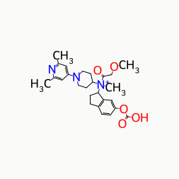 COCC(=O)[N+](C)(C1CCN(c2cc(C)nc(C)c2)CC1)C1CCc2ccc(OC(=O)O)cc21